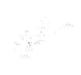 COCC[C@H](Cc1ccc(OC)cc1)[C@@H](Oc1ccccc1)[C@H](C)OC[C@@](C)(C=O)NC(=O)c1nccc(OC)c1O